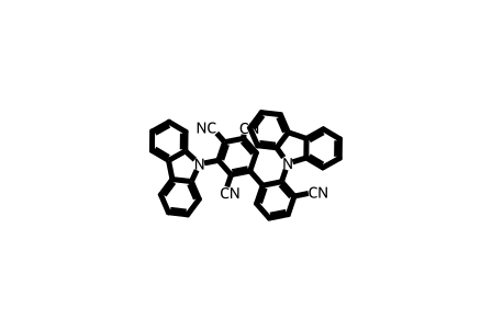 N#Cc1cc(-c2cccc(C#N)c2-n2c3ccccc3c3ccccc32)c(C#N)c(-n2c3ccccc3c3ccccc32)c1C#N